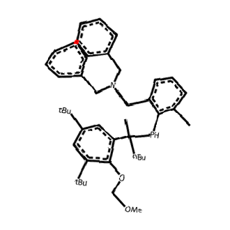 CCCCC(C)(Pc1c(C)cccc1CN(Cc1ccccc1)Cc1ccccc1)c1cc(C(C)(C)C)cc(C(C)(C)C)c1OCOC